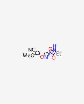 CC[C@H]1NC(=O)N(c2ccc(Oc3ccc(C#N)c(OC)c3)nc2)C1=O